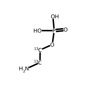 N[13CH2][13CH2]OP(=O)(O)O